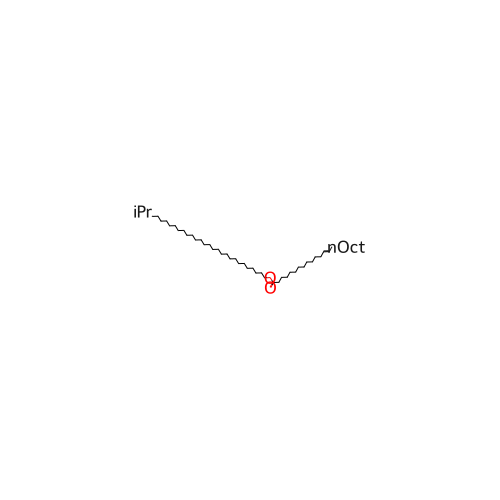 CCCCCCCCC=CCCCCCCCCCCCC(=O)OCCCCCCCCCCCCCCCCCCCCCCCCCCCC(C)C